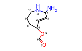 NC1/C=C/C(OC=O)CCCN1